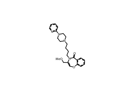 COCC1=COc2ccccc2C(=O)N1CCCCN1CCN(c2ccccn2)CC1